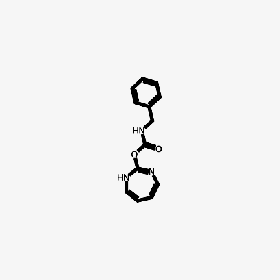 O=C(NCc1ccccc1)OC1=NC=CC=CN1